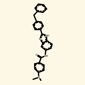 CN(C)c1ccc(C(=O)Nc2ccc3[nH]c(-c4ccc(Cc5ccccc5)cc4)nc3c2)cc1